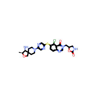 C[C@@H]1OCC2(CCN(c3cnc(Sc4ccc5ncn(CC6CNC(=O)O6)c(=O)c5c4Cl)cn3)CC2)[C@@H]1N